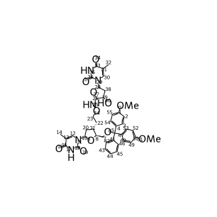 COc1ccc(C(OC[C@H]2O[C@@H](n3cc(C)c(=O)[nH]c3=O)C[C@@H]2CCONC2OC(n3cc(C)c(=O)[nH]c3=O)CC2O)(c2ccccc2)c2ccc(OC)cc2)cc1